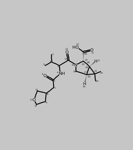 CC(C)C(NC(=O)CC1CCOC1)C(=O)N1C[C@H]2[C@@H]([C@H]1C(=O)O)C2(C)C